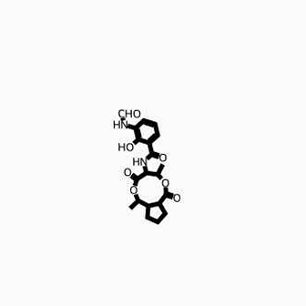 CC1OC(=O)C2CCCC2C(C)OC(=O)C1NC(=O)c1cccc(NC=O)c1O